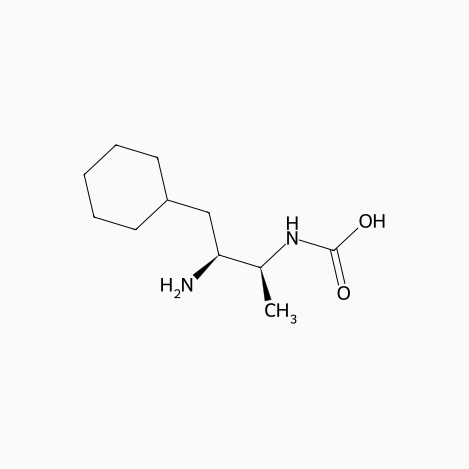 C[C@H](NC(=O)O)[C@@H](N)CC1CCCCC1